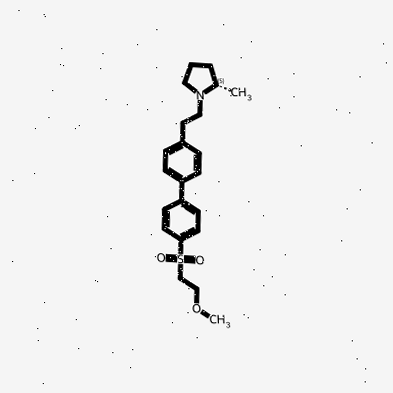 COCCS(=O)(=O)c1ccc(-c2ccc(CCN3CCC[C@@H]3C)cc2)cc1